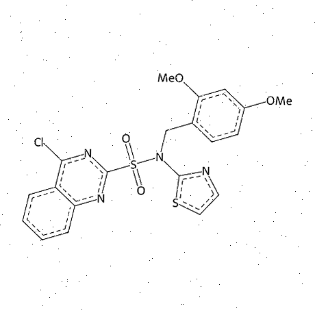 COc1ccc(CN(c2nccs2)S(=O)(=O)c2nc(Cl)c3ccccc3n2)c(OC)c1